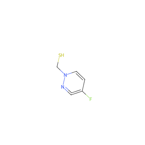 FC1=C=NN(CS)C=C1